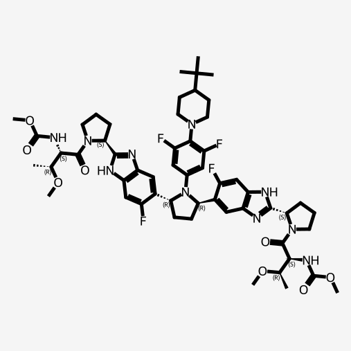 COC(=O)N[C@H](C(=O)N1CCC[C@H]1c1nc2cc([C@H]3CC[C@H](c4cc5nc([C@@H]6CCCN6C(=O)[C@@H](NC(=O)OC)[C@@H](C)OC)[nH]c5cc4F)N3c3cc(F)c(N4CCC(C(C)(C)C)CC4)c(F)c3)c(F)cc2[nH]1)[C@@H](C)OC